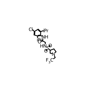 CC(C)c1cc(Cl)cc(C(C)C)c1NC(=O)CNS(=O)(=O)C1CCN(CC(F)(F)F)C1